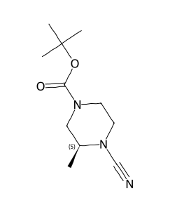 C[C@H]1CN(C(=O)OC(C)(C)C)CCN1C#N